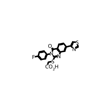 O=C(O)CSc1nc2cc(-c3cscn3)ccc2c(=O)n1-c1ccc(F)cc1